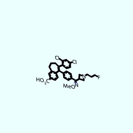 CO/N=C(\c1ccc(C2=C(c3ccc(Cl)cc3Cl)CCCc3cc(C(=O)O)ccc32)cc1)C1CN(CCCF)C1